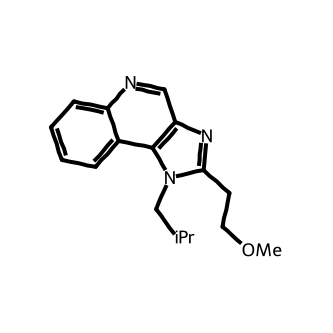 COCCc1nc2cnc3ccccc3c2n1CC(C)C